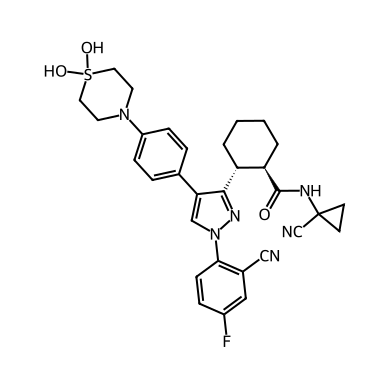 N#Cc1cc(F)ccc1-n1cc(-c2ccc(N3CCS(O)(O)CC3)cc2)c([C@@H]2CCCC[C@H]2C(=O)NC2(C#N)CC2)n1